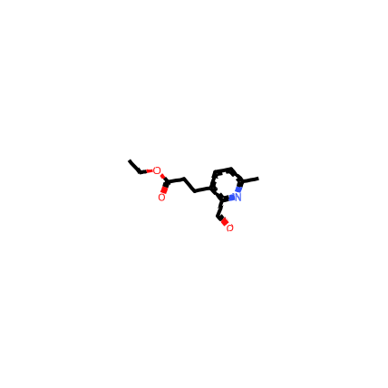 CCOC(=O)CCc1ccc(C)nc1C=O